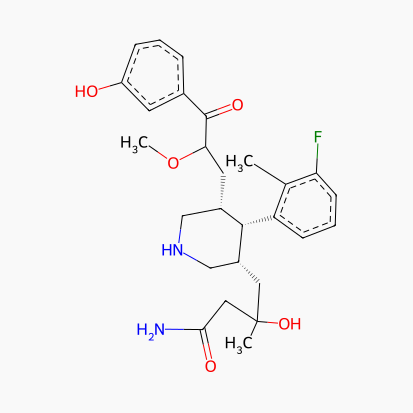 COC(C[C@H]1CNC[C@@H](CC(C)(O)CC(N)=O)[C@H]1c1cccc(F)c1C)C(=O)c1cccc(O)c1